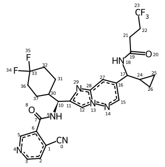 N#Cc1ccncc1C(=O)N[C@H](c1cn2ncc(C(NC(=O)CCC(F)(F)F)C3CC3)cc2n1)C1CCC(F)(F)CC1